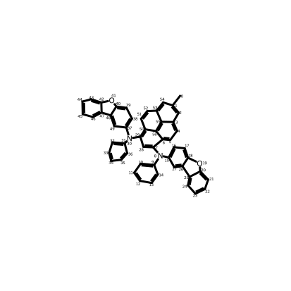 Cc1cc2ccc3c(N(c4ccccc4)c4ccc5oc6ccccc6c5c4)cc(N(c4ccccc4)c4ccc5oc6ccccc6c5c4)c4ccc(c1)c2c34